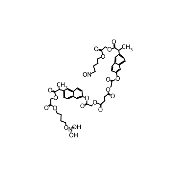 CC(C(=O)OCC(=O)OCCCCN=O)c1ccc2cc(OC(=O)COC(=O)CCC(=O)OCC(=O)Oc3ccc4cc(C(C)C(=O)OCC(=O)OCCCCON(O)O)ccc4c3)ccc2c1